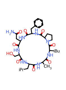 CCC(C)C1NC(=O)C(C)NC(=O)C(CC(C)C)NC(=O)C(CO)NC(=O)C(CC(N)=O)NC(=O)C(Cc2ccccc2)NC(=O)C2CCCN2C1=O